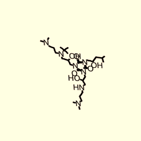 CC(C)CC(O)Cn1c(=O)n(CC(O)CNCCCN(C)C)c(=O)n(CC(O)CN(CCCN(C)C)C(C)(C)C)c1=O